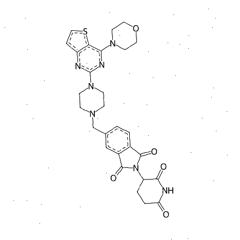 O=C1CCC(N2C(=O)c3ccc(CN4CCN(c5nc(N6CCOCC6)c6sccc6n5)CC4)cc3C2=O)C(=O)N1